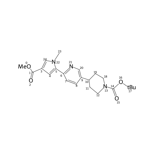 COC(=O)c1cc(-c2ccc(C3CCN(C(=O)OC(C)(C)C)CC3)cn2)n(C)c1